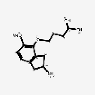 COc1ccc2c(c1OCCCC(O)O)CC(N)C2